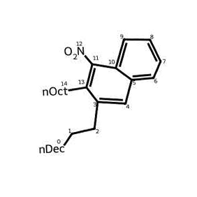 CCCCCCCCCCCCc1cc2ccccc2c([N+](=O)[O-])c1CCCCCCCC